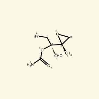 CC(C)C[C@](C=O)(OC(N)=O)[C@@]1(C)CO1